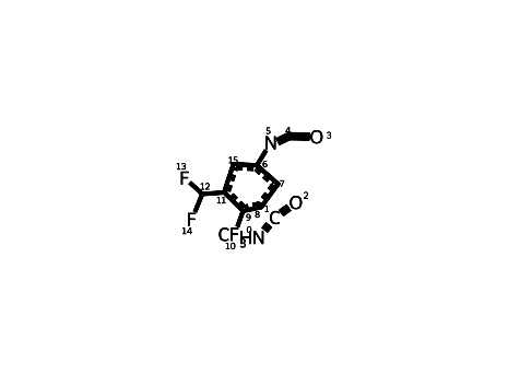 N=C=O.O=C=Nc1ccc(C(F)(F)F)c(C(F)F)c1